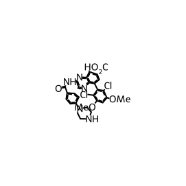 COc1cc(OC)c(Cl)c(-c2ccc(C(=O)O)c3nccnc23)c1Cl.NC(=O)c1ccc(N2CCNCC2)cc1